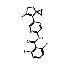 CC1=C(c2cnc(NC(=O)c3c(F)cccc3F)cn2)C2(CC1)CC2